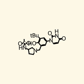 CC(C)(C)c1cc(-n2ccc(=O)[nH]c2=O)cc(CN2CCC(NS(C)(=O)=O)C2)c1O